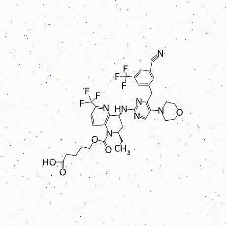 CC[C@@H]1C[C@H](Nc2ncc(N3CCOCC3)c(Cc3cc(C#N)cc(C(F)(F)F)c3)n2)c2nc(C(F)(F)F)ccc2N1C(=O)OCCCCC(=O)O